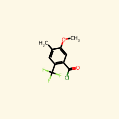 COc1cc(C(=O)Cl)c(C(F)(F)F)cc1C